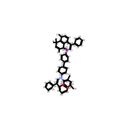 CC1=CC(C)(C)C2=C3C(C)(C=CC2C)C(c2ccccc2)=CN(c2ccc(-c4ccc(N(C=C(c5ccccc5)c5ccccc5)c5ccc(C)cc5C)cc4)cc2)C13C